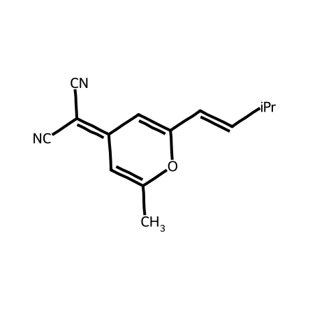 CC1=CC(=C(C#N)C#N)C=C(/C=C/C(C)C)O1